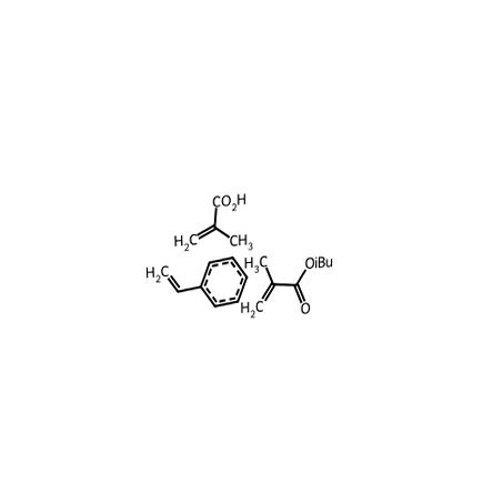 C=C(C)C(=O)O.C=C(C)C(=O)OCC(C)C.C=Cc1ccccc1